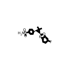 CC1(C)[C@H](c2ccc(S(N)(=O)=O)cc2)[C@H]1c1nc2ccc(F)cc2o1